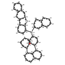 c1ccc(-c2cccc3cccc(-c4ccc(N(c5ccc6ccccc6c5)c5cccc6c5oc5cc7ccccc7cc56)cc4)c23)cc1